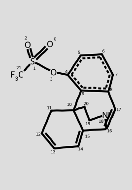 O=S(=O)(Oc1cccc2c1C13CC=CC=C1C(=C2)NCC3)C(F)(F)F